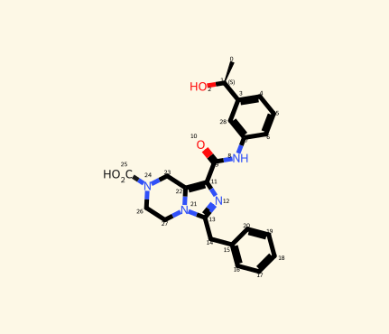 C[C@H](O)c1cccc(NC(=O)c2nc(Cc3ccccc3)n3c2CN(C(=O)O)CC3)c1